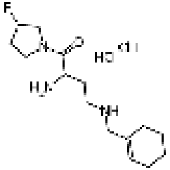 Cl.Cl.NC(CCNCC1=CCCCC1)C(=O)N1CCC(F)C1